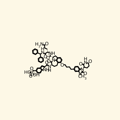 Cn1c(=O)n(C2CCC(=O)NC2=O)c2ccc(CCCCOc3ccc4c5c3CC[C@H](NC(=O)c3cc6cc(C(=O)P(=O)(O)O)ccc6[nH]3)C(=O)N5[C@H](C(=O)N[C@@H](CCC(N)=O)C(=O)NC(c3ccccc3)c3ccccc3)C4)cc21